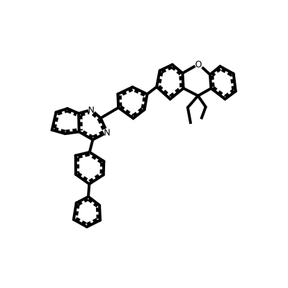 CCC1(CC)c2ccccc2Oc2ccc(-c3ccc(-c4nc(-c5ccc(-c6ccccc6)cc5)c5ccccc5n4)cc3)cc21